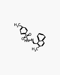 Cc1ccc(S(=O)(=O)NN=Cc2c(C)ccc3ccccc23)cc1